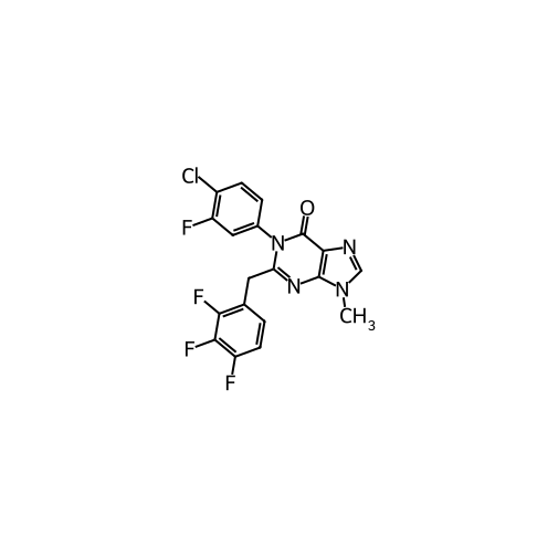 Cn1cnc2c(=O)n(-c3ccc(Cl)c(F)c3)c(Cc3ccc(F)c(F)c3F)nc21